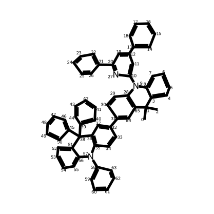 CC1(C)c2ccccc2N(c2cc(-c3ccccc3)cc(-c3ccccc3)n2)c2ccc(-c3ccc4c(c3)C(c3ccccc3)(c3ccccc3)c3ccccc3N4c3ccccc3)cc21